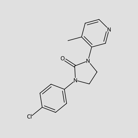 Cc1ccncc1N1CCN(c2ccc(Cl)cc2)C1=O